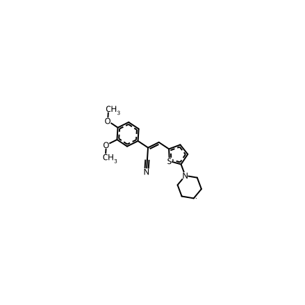 COc1ccc(/C(C#N)=C/c2ccc(N3CC[CH]CC3)s2)cc1OC